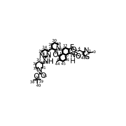 Cc1nc(CS(=O)(=O)Nc2c(F)ccc3c(Oc4ncccc4-c4ccnc(N[C@H]5CCCN(C(=O)OC(C)(C)C)C5)n4)c(C)ccc23)cs1